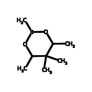 CB1OC(C)C(C)(C)C(C)O1